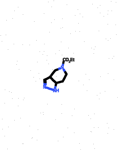 CCOC(=O)N1CCC2NN=CC2C1